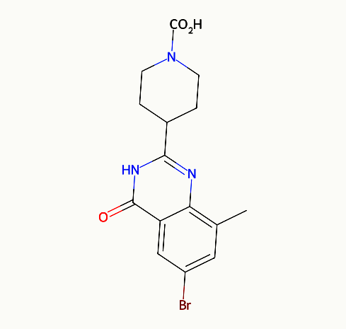 Cc1cc(Br)cc2c(=O)[nH]c(C3CCN(C(=O)O)CC3)nc12